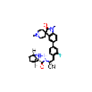 CN1CCC2(CC1)C(=O)N(C)c1ccc(-c3ccc(C[C@@H](C#N)NC(=O)[C@H]4N[C@@H]5CC[C@H]4C5)c(F)c3)cc12